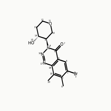 Cc1c(Br)cc2c(=O)n([C@@H]3COCC[C@H]3O)nnc2c1C